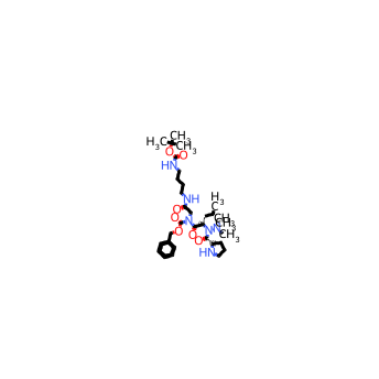 CC(C)C[C@@H](C(=O)N(CC(=O)NCCCCNC(=O)OC(C)(C)C)C(=O)OCc1ccccc1)N(C(=O)[C@@H]1CCCN1)N(C)C